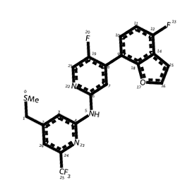 CSCc1cc(Nc2cc(-c3ccc(F)c4ccoc34)c(F)cn2)nc(C(F)(F)F)c1